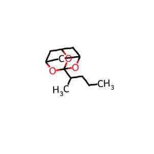 CCCC(C)C12OC3CC(CC(C3)O1)O2